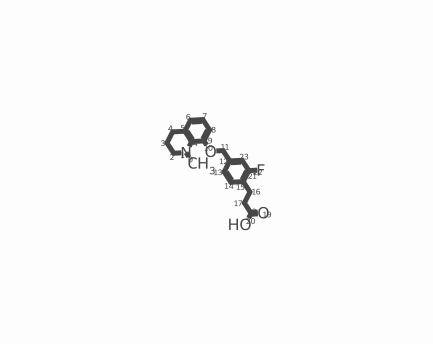 CN1CCCc2cccc(OCc3ccc(CCC(=O)O)c(F)c3)c21